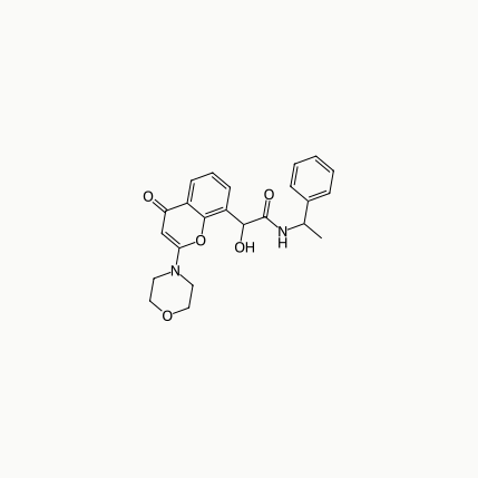 CC(NC(=O)C(O)c1cccc2c(=O)cc(N3CCOCC3)oc12)c1ccccc1